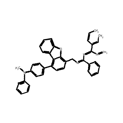 C=NC(=N\C(=N/Cc1ccc(-c2ccc(N(C)c3ccccc3)cc2)c2c1oc1ccccc12)c1ccccc1)/C(/C=C\C)=C/C